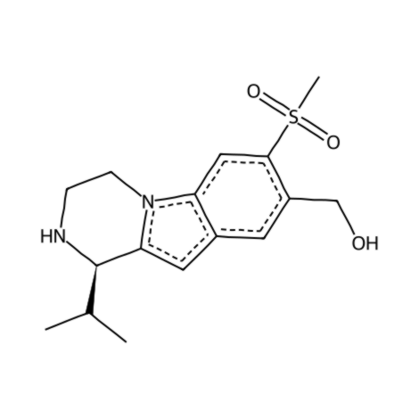 CC(C)[C@H]1NCCn2c1cc1cc(CO)c(S(C)(=O)=O)cc12